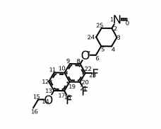 C=NC1CCC(COc2cc3ccc(OCC)c(F)c3c(F)c2F)CC1